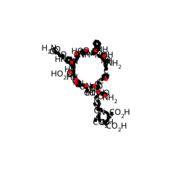 CC(C)C[C@@H]1NC(=O)[C@H](Cc2cccc(NC(=O)CCCS(N)(=O)=O)c2)NC(=O)[C@H](CC(=O)O)NC(=O)[C@H]2CCCN2C(=O)[C@H](CCC(=O)O)NC(=O)[C@@H](NC(=O)[C@H](CCC(N)=O)NC(=O)CN2CCN(C(=O)CN3CCN(CC(=O)O)CCN(CC(=O)O)CCN(CC(=O)O)CC3)CC2)CSCc2cccc(c2)CSC[C@@H](C(N)=O)NC(=O)[C@H](CO)NC(=O)[C@H](Cc2c[nH]c3ccccc23)NC(=O)[C@H]([C@@H](C)O)NC1=O